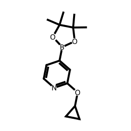 CC1(C)OB(c2ccnc(OC3CC3)c2)OC1(C)C